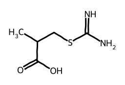 CC(CSC(=N)N)C(=O)O